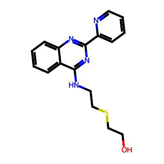 OCCSCCNc1nc(-c2ccccn2)nc2ccccc12